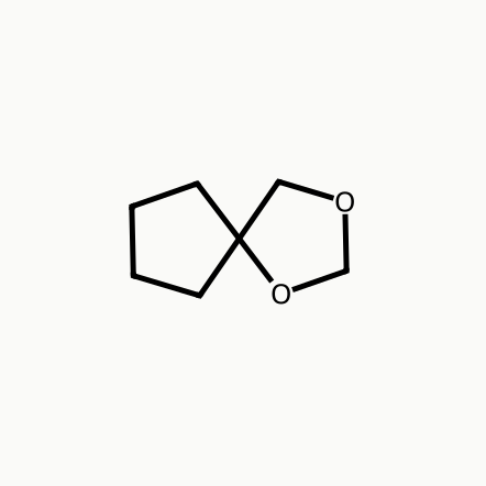 C1CCC2(C1)COCO2